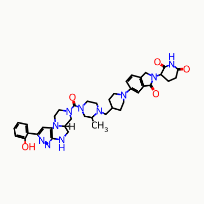 CC1CN(C(=O)N2CCN3c4cc(-c5ccccc5O)nnc4NC[C@H]3C2)CCN1CC1CCN(c2ccc3c(c2)C(=O)N(C2CCC(=O)NC2=O)C3)CC1